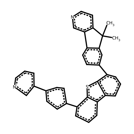 CC1(C)c2ccncc2-c2ccc(-c3cccc4c3sc3c(-c5ccc(-c6cccnc6)cc5)cccc34)cc21